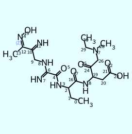 CCC(NC(=O)C(=N)NCC(=N)/C(C)=N\O)C(=O)NC(CC(=O)O)C(=O)CN(C)CC